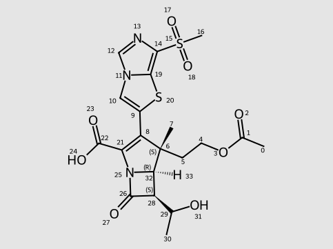 CC(=O)OCC[C@@]1(C)C(c2cn3cnc(S(C)(=O)=O)c3s2)=C(C(=O)O)N2C(=O)[C@H](C(C)O)[C@@H]21